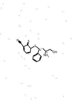 N#CC1=CC=CC(S[C@H](C[C@H](N)CO)c2ccccc2)C1=S